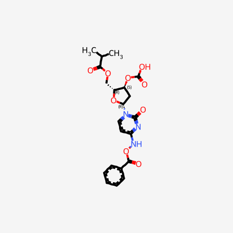 CC(C)C(=O)OC[C@H]1O[C@@H](n2ccc(NOC(=O)c3ccccc3)nc2=O)C[C@@H]1OC(=O)O